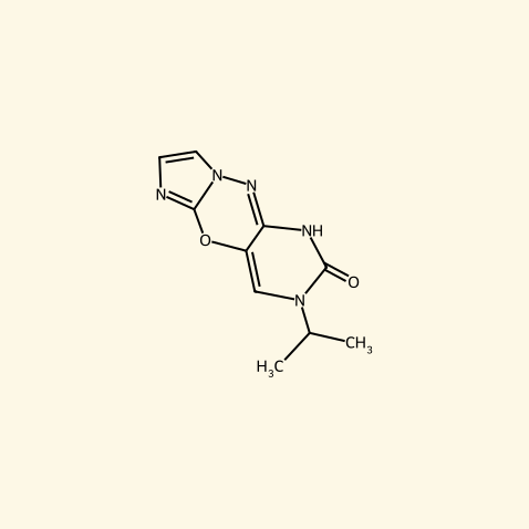 CC(C)N1C=C2Oc3nccn3N=C2NC1=O